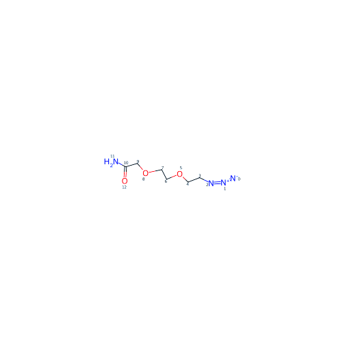 [N-]=[N+]=NCCOCCOCC(N)=O